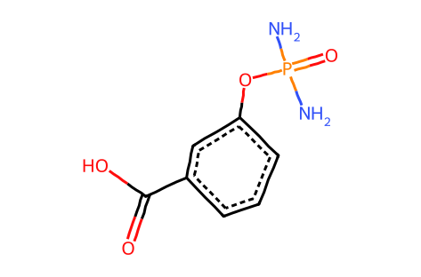 NP(N)(=O)Oc1cccc(C(=O)O)c1